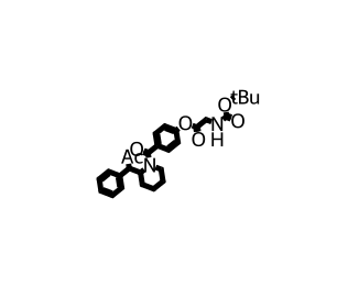 CC(=O)C(c1ccccc1)C1CCCCN1C(=O)c1ccc(OC(=O)CNC(=O)OC(C)(C)C)cc1